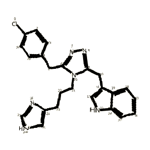 Clc1ccc(Cc2nnc(Cc3c[nH]c4ccccc34)n2CCCc2c[nH]cn2)cc1